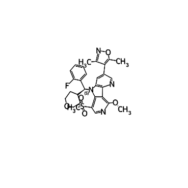 COc1ncc(S(C)(=O)=O)c2c1c1ncc(-c3c(C)noc3C)cc1n2[C@H](c1ccccc1F)C1CCOCC1